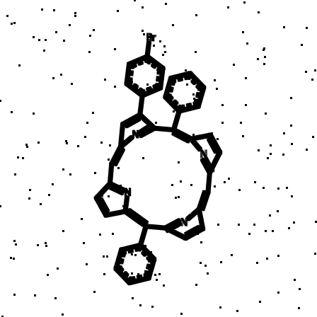 Brc1ccc(C2=CC3=CC4=NC(=C(c5ccccc5)C5=NC(=CC6=NC(=C(c7ccccc7)C2=N3)C=C6)C=C5)C=C4)cc1